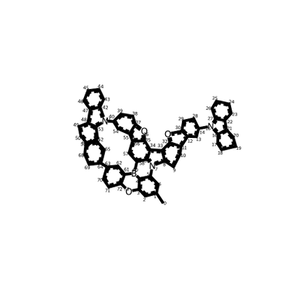 Cc1cc2c3c(c1)-n1c4ccc5c6cc(-n7c8ccccc8c8ccccc87)ccc6oc5c4c4c5oc6ccc(-n7c8ccccc8c8ccccc87)cc6c5cc(c41)B3c1cc(-c3ccccc3)ccc1O2